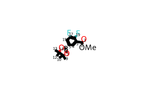 COC(=O)c1cc(B2OC(C)(C)C(C)(C)O2)cc(F)c1F